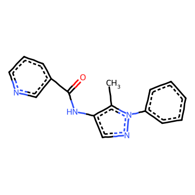 Cc1c(NC(=O)c2cccnc2)cnn1-c1ccccc1